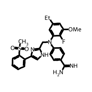 CCc1cc(OC)c(F)c(N(Cc2nc(-c3ccccc3S(C)(=O)=O)c[nH]2)c2ccc(C(=N)N)cc2)c1